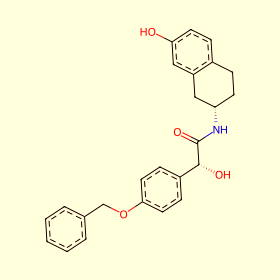 O=C(N[C@H]1CCc2ccc(O)cc2C1)[C@H](O)c1ccc(OCc2ccccc2)cc1